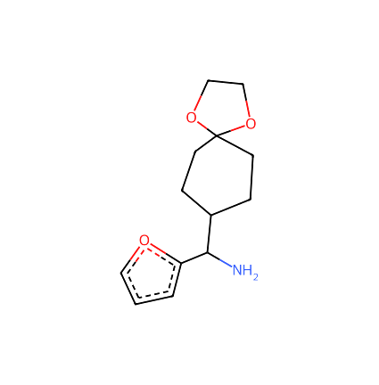 NC(c1ccco1)C1CCC2(CC1)OCCO2